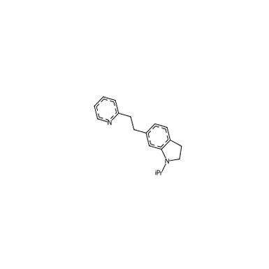 CC(C)N1CCc2ccc(CCc3ccccn3)cc21